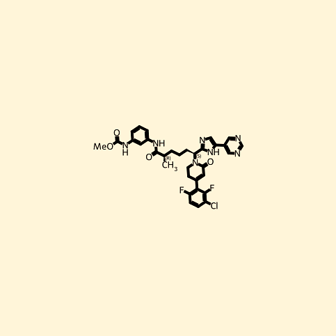 COC(=O)Nc1cccc(NC(=O)[C@H](C)CCC[C@@H](c2ncc(-c3cncnc3)[nH]2)N2CCC(c3c(F)ccc(Cl)c3F)=CC2=O)c1